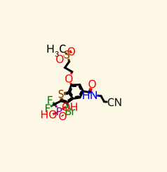 CS(=O)(=O)CCCOc1cc(C(=O)NCCC#N)cc2c(Br)c(C(F)(F)P(=O)(O)O)sc12